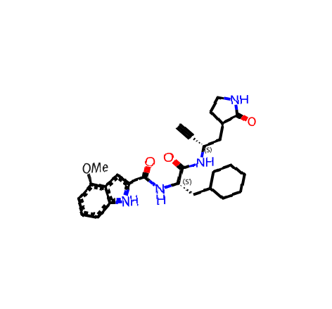 C#C[C@H](CC1CCNC1=O)NC(=O)[C@H](CC1CCCCC1)NC(=O)c1cc2c(OC)cccc2[nH]1